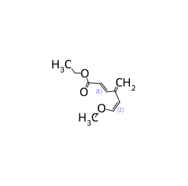 C=C(/C=C\OC)/C=C/C(=O)OCC